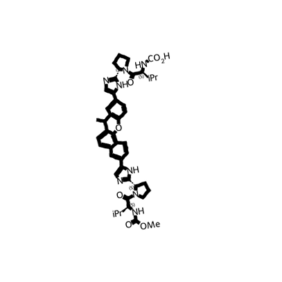 COC(=O)N[C@H](C(=O)N1CCC[C@H]1c1ncc(-c2ccc3c4c(ccc3c2)C(C)c2cc(-c3cnc([C@@H]5CCCN5C(=O)[C@@H](NC(=O)O)C(C)C)[nH]3)ccc2O4)[nH]1)C(C)C